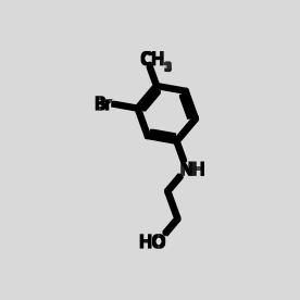 Cc1ccc(NCCO)cc1Br